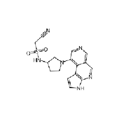 N#CCS(=O)(=O)NC1CCN(c2cncc3cnc4[nH]ccc4c23)C1